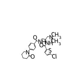 CN(C)CC(CNC(=O)c1ccc(N2CCCCC2=O)cc1)NC(=O)c1ccc(Cl)s1